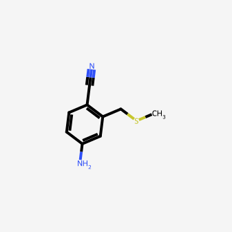 CSCc1cc(N)ccc1C#N